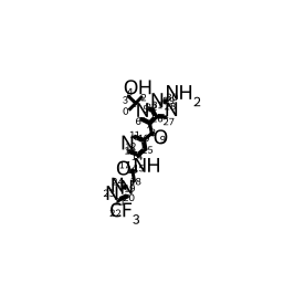 CC(C)(CO)n1cc(C(=O)c2cncc(NC(=O)Cn3cc(C(F)(F)F)nn3)c2)c2cnc(N)nc21